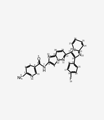 N#Cc1ccc(C(=O)Nc2cn3nc(-c4c(-c5ccc(F)cc5)nc5ccccn45)ccc3n2)cn1